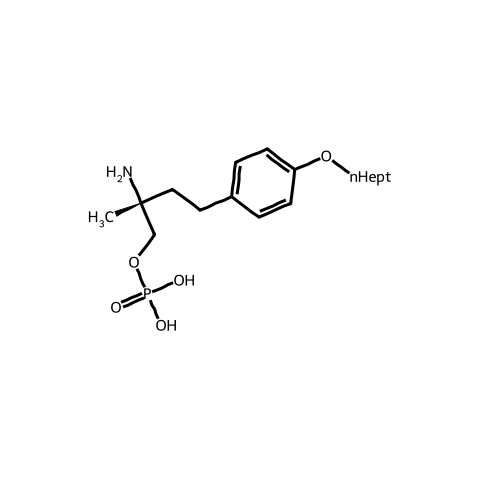 CCCCCCCOc1ccc(CC[C@@](C)(N)COP(=O)(O)O)cc1